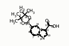 CC1(C)OB(c2ccc3ncc(C(=O)O)n3c2)OC1(C)C